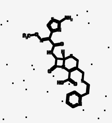 CON=C(C(=O)NC1C(=O)N2C(C(=O)O)=C(CS/C=C\c3ccccn3)CS[C@@H]12)c1csc(N)n1